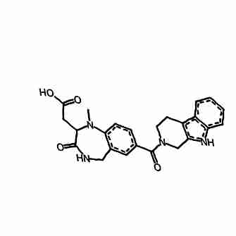 CN1c2ccc(C(=O)N3CCc4c([nH]c5ccccc45)C3)cc2CNC(=O)C1CC(=O)O